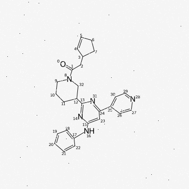 O=C(CC1C=CCC1)N1CCCC(c2nc(Nc3ccccc3)cc(-c3ccncc3)n2)C1